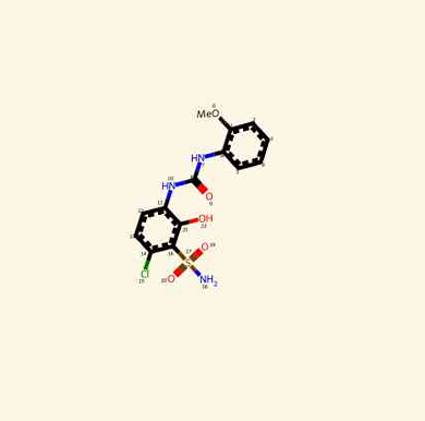 COc1ccccc1NC(=O)Nc1ccc(Cl)c(S(N)(=O)=O)c1O